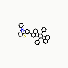 CSC12CCCCC1(C)N(c1ccccc1)c1ccc(-c3ccc4c5c(-c6ccccc6)c6c7cccc8cccc(c6c(-c6ccccc6)c5c5cccc3c54)c87)cc12